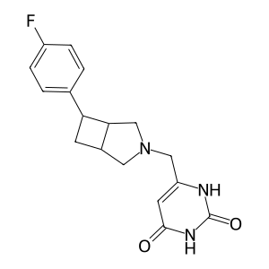 O=c1cc(CN2CC3CC(c4ccc(F)cc4)C3C2)[nH]c(=O)[nH]1